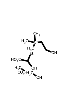 CC(=O)O.CCC(O)C(=O)O.CO.C[N+](C)(C)CCO